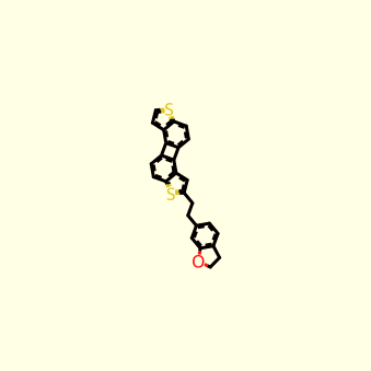 c1cc2c3c(ccc2s1)-c1c-3ccc2sc(CCc3ccc4c(c3)OCC4)cc12